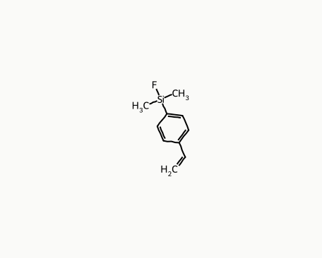 C=Cc1ccc([Si](C)(C)F)cc1